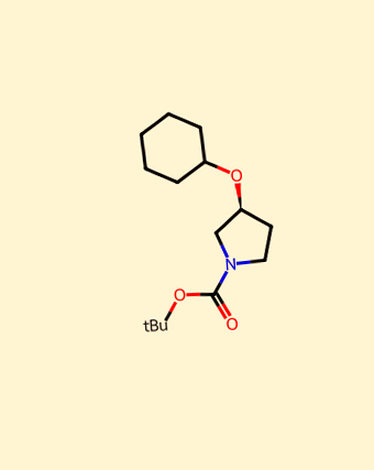 CC(C)(C)OC(=O)N1CC[C@H](OC2CCCCC2)C1